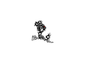 CCCCc1nc2ccc(C(OC)c3ccccc3)cc2c(=O)n1Cc1ccc(-c2ccccc2-c2nnnn2C(c2ccccc2)(c2ccccc2)c2ccccc2)cc1